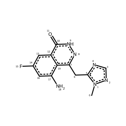 Cn1ncnc1Cc1n[nH]c(=O)c2cc(F)cc(N)c12